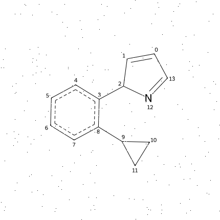 C1=CC(c2ccccc2C2CC2)N=C1